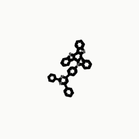 c1ccc(-c2cc(-c3ccc(-n4c5ccccc5c5c6sc7ccccc7c6c6sc7ccccc7c6c54)cc3)nc(-c3ccccc3)n2)cc1